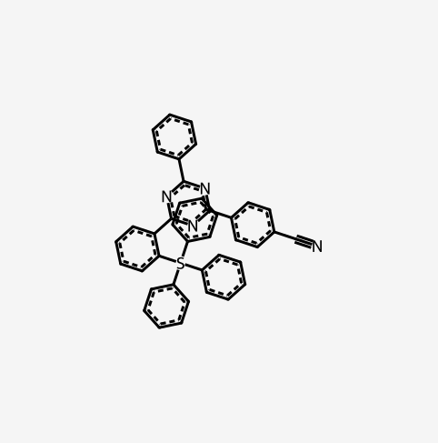 N#Cc1ccc(-c2nc(-c3ccccc3)nc(-c3ccccc3S(c3ccccc3)(c3ccccc3)c3ccccc3)n2)cc1